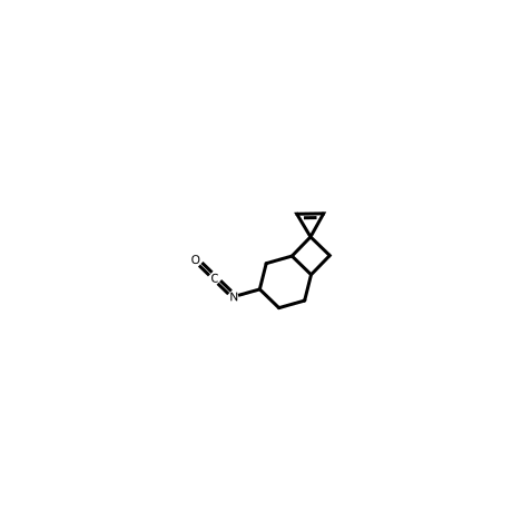 O=C=NC1CCC2CC3(C=C3)C2C1